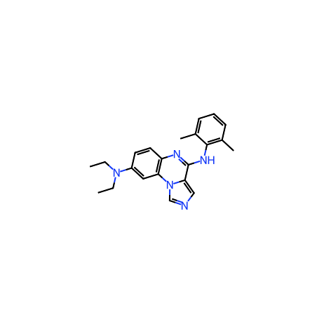 CCN(CC)c1ccc2nc(Nc3c(C)cccc3C)c3cncn3c2c1